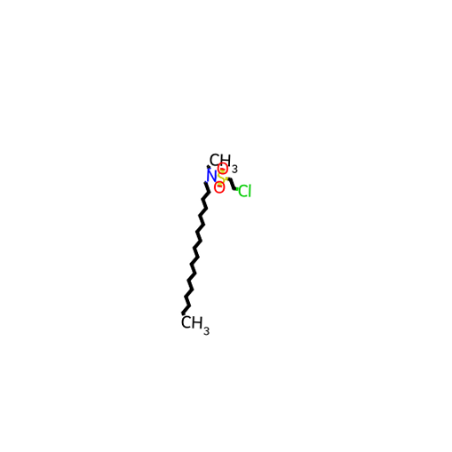 CCCCCCCCCCCCCCCCCCN(CC)S(=O)(=O)CCCl